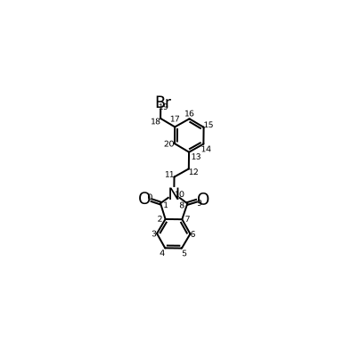 O=C1c2ccccc2C(=O)N1CCc1cccc(CBr)c1